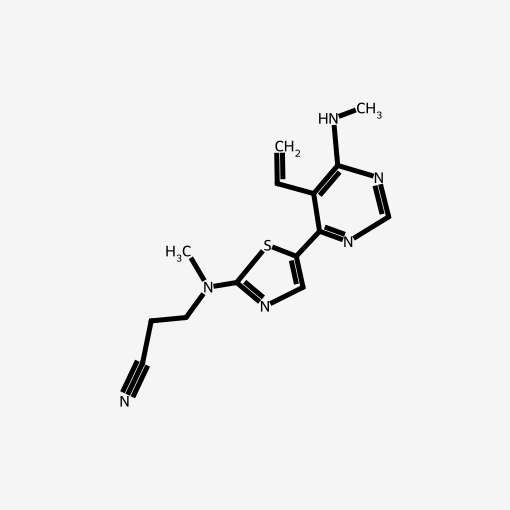 C=Cc1c(NC)ncnc1-c1cnc(N(C)CCC#N)s1